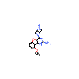 COc1cccc2c1C1N=C(N)N=C(N3CC4NCC43)C1O2